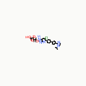 CC(C)N1CCN=C1c1ccc(-c2ccc(-c3nc4nc(O[C@@H]5COC6[C@H](O)CO[C@@H]65)[nH]c4cc3Cl)cc2)cc1